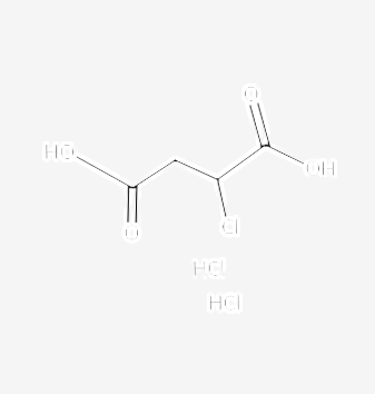 Cl.Cl.O=C(O)CC(Cl)C(=O)O